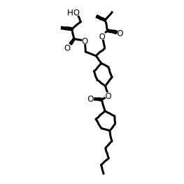 C=C(C)C(=O)OCC(COC(=O)C(=C)CO)C1CCC(OC(=O)C2CCC(CCCCC)CC2)CC1